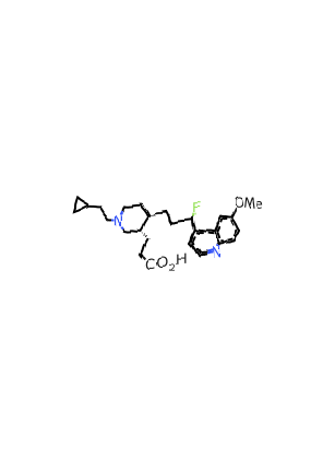 COc1ccc2nccc([C@H](F)CC[C@@H]3CCN(CCC4CC4)C[C@H]3CCC(=O)O)c2c1